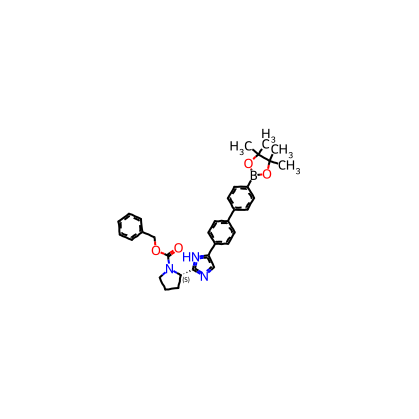 CC1(C)OB(c2ccc(-c3ccc(-c4cnc([C@@H]5CCCN5C(=O)OCc5ccccc5)[nH]4)cc3)cc2)OC1(C)C